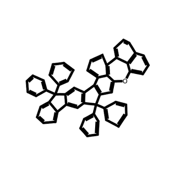 c1ccc(C2(c3ccccc3)c3ccccc3-c3cc4c(cc32)-c2c(cc3oc5cccc6cccc(c7cccc2c37)c65)C4(c2ccccc2)c2ccccc2)cc1